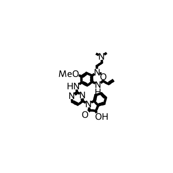 C=CC(=O)Nc1cc(Nc2nccc(N3C(=O)C(O)c4ccccc43)n2)c(OC)cc1N(C)CCN(C)C